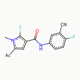 CC(=O)c1cc(C(=O)Nc2ccc(F)c(C#N)c2)c(F)n1C